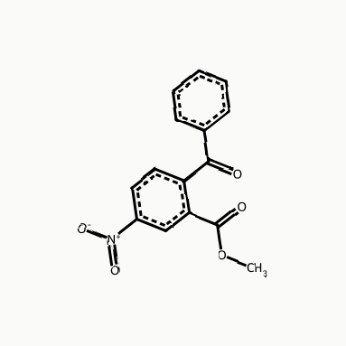 COC(=O)c1cc([N+](=O)[O-])ccc1C(=O)c1ccccc1